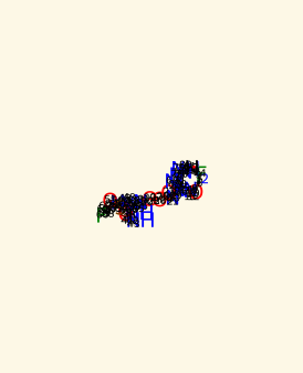 C=C1/C=C(F)\C=C/CC(=O)N(C2CC2)Cc2nn(CCN(C)C(=O)CCOCCOCCN3CCC([C@@H](NC(=O)[C@@H](C)NC)C(=O)N4CCC[C@@H]4C4=NC(C(=O)c5ccc(F)cc5)CS4)CC3)c(C#N)c2-c2cnc(N)c(c2)N2CCC[C@H]12